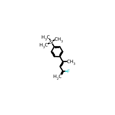 C=C(F)/C=C(\C)c1ccc([Si](C)(C)C)cc1